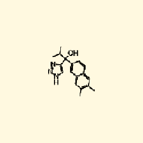 Cc1cc2ccc(C(O)(c3c[nH]nn3)C(C)C)cc2cc1C